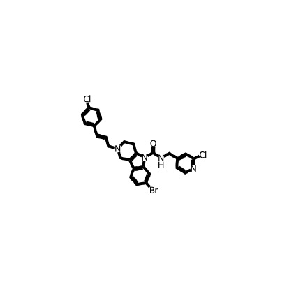 O=C(NCc1ccnc(Cl)c1)n1c2c(c3ccc(Br)cc31)CN(C/C=C/c1ccc(Cl)cc1)CC2